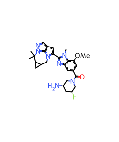 COc1cc(C(=O)N2C[C@H](N)C[C@@H](F)C2)cc2nc(-c3cc4cnn5c4n3CC3CC3C5(C)C)n(C)c12